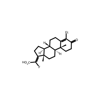 CCC1=C2CC[C@@H]3[C@H](CC[C@]4(C)C(=C(F)C(=O)O)CC[C@@H]34)[C@@]2(C)CCC1=O